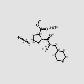 COC(=O)[C@@H]1C[C@@H](N=[N+]=[N-])CN1C(=O)C(N)CC1CCCCC1.Cl